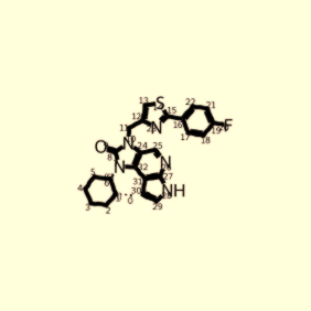 C[C@@H]1CCCC[C@@H]1n1c(=O)n(Cc2csc(-c3ccc(F)cc3)n2)c2cnc3[nH]ccc3c21